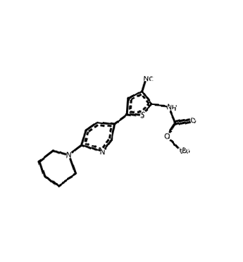 [C-]#[N+]c1cc(-c2ccc(N3CCCCC3)nc2)sc1NC(=O)OC(C)(C)C